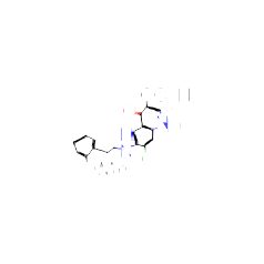 CCn1cc(C(=O)O)c(=O)c2cc(NCCc3ccccc3OC)c(Cl)cc21